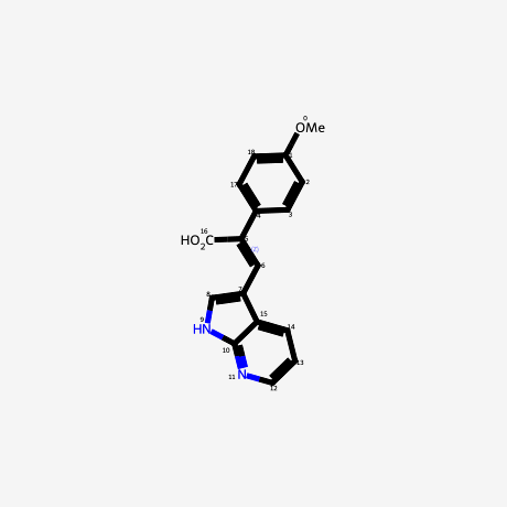 COc1ccc(/C(=C/c2c[nH]c3ncccc23)C(=O)O)cc1